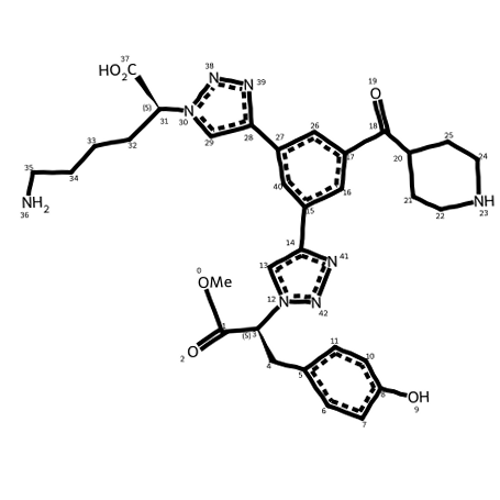 COC(=O)[C@H](Cc1ccc(O)cc1)n1cc(-c2cc(C(=O)C3CCNCC3)cc(-c3cn([C@@H](CCCCN)C(=O)O)nn3)c2)nn1